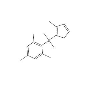 CC1=C([Si](C)(C)c2c(C)cc(C)cc2C)CC=C1